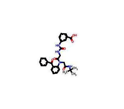 CC(C)(C)NC(=O)CN(C(=O)CNC(=O)Nc1cccc(C(=O)O)c1)c1ccccc1C(=O)c1ccccc1